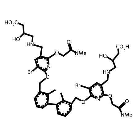 CNC(=O)COc1nc(OCc2cccc(-c3cccc(COc4nc(OCC(=O)NC)c(CNCC(O)CC(=O)O)cc4Br)c3C)c2C)c(Br)cc1CNCC(O)CC(=O)O